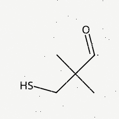 CC(C)([C]=O)CS